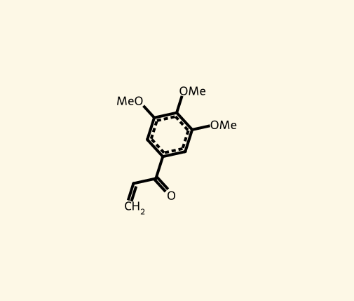 C=CC(=O)c1cc(OC)c(OC)c(OC)c1